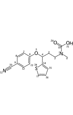 CN(CCC(Oc1ccc(C#N)cc1)c1cccs1)C(=O)O